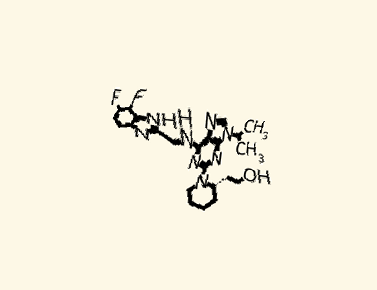 CC(C)n1cnc2c(NCc3nc4ccc(F)c(F)c4[nH]3)nc(N3CCCC[C@H]3CCO)nc21